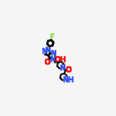 O=C(C1CCCNC1)N1CCC(O)(Cn2cnc3c(cnn3-c3ccc(F)cc3)c2=O)CC1